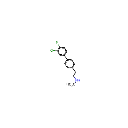 O=C(O)NCCc1ccc(-c2ccc(F)c(Cl)c2)cc1